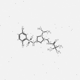 CB(O)N1C[C@H](NS(=O)(=O)c2cc(Br)ccc2Br)C[C@@H]1CNC(=O)C(C)(C)C